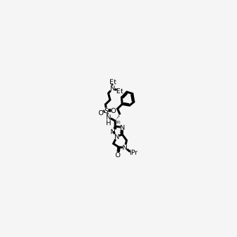 CCN(CC)CCCS(=O)(=O)N[C@H](CCc1ccccc1)c1nc2n(n1)CC(=O)N(C(C)C)C2